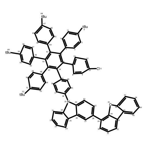 CC(C)(C)c1ccc(-c2c(-c3ccc(Cl)cc3)c(-c3ccc(-n4c5ccccc5c5cc(-c6cccc7c6oc6ccccc67)ccc54)cc3)c(-c3ccc(C(C)(C)C)cc3)c(-c3ccc(C(C)(C)C)cc3)c2-c2ccc(C(C)(C)C)cc2)cc1